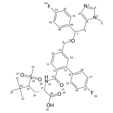 Cn1cncc1CC(OCc1ccc(C(=O)N[C@@H](CC(C(C)(C)C)S(C)(=O)=O)C(=O)O)c(-c2ccc(F)cc2)c1)c1ccc(F)cc1